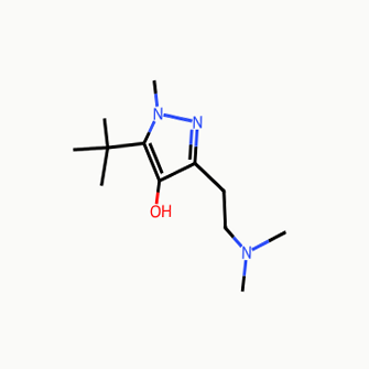 CN(C)CCc1nn(C)c(C(C)(C)C)c1O